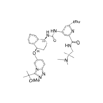 COC(C)(C)c1nnc2ccc(O[C@@H]3CC[C@H](NC(=O)Nc4cc(C(=O)NCC(C)(C)N(C)C)nc(C(C)(C)C)c4)c4ccccc43)cn12